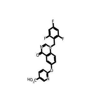 O=C(O)c1ccc(Oc2ccc3c(c2)c(=O)ncn3Cc2c(F)cc(F)cc2F)nc1